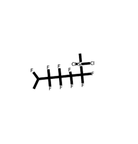 CC(F)C(F)(F)C(F)(F)C(F)(F)C(F)(F)[Si](C)(Cl)Cl